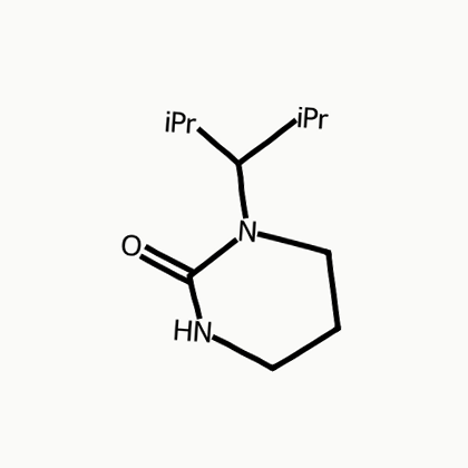 CC(C)C(C(C)C)N1CCCNC1=O